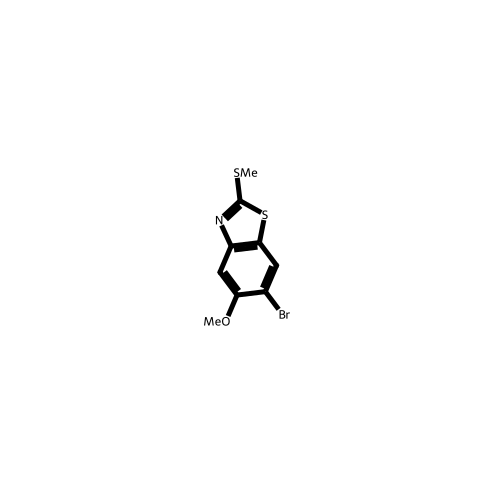 COc1cc2nc(SC)sc2cc1Br